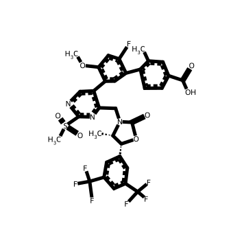 COc1cc(F)c(-c2ccc(C(=O)O)cc2C)cc1-c1cnc(S(C)(=O)=O)nc1CN1C(=O)O[C@H](c2cc(C(F)(F)F)cc(C(F)(F)F)c2)[C@@H]1C